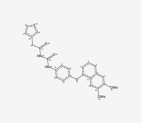 COc1cc2cccc(Oc3ccc(NC(=O)NC(=O)Cc4ccsc4)cc3)c2cc1OC